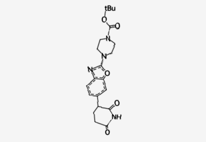 CC(C)(C)OC(=O)N1CCN(c2nc3ccc(C4CCC(=O)NC4=O)cc3o2)CC1